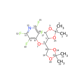 CC1(C)OCC(C(Oc2c(F)c(F)nc(F)c2F)C2COC(C)(C)O2)O1